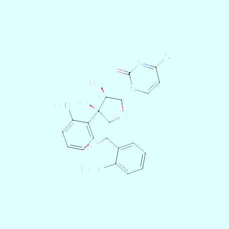 Nc1ccn([C@@H]2O[C@H](C(O)c3ccccc3C(=O)O)[C@](O)(c3ccccc3C(=O)O)[C@H]2O)c(=O)n1